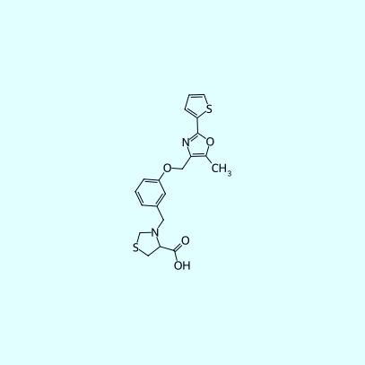 Cc1oc(-c2cccs2)nc1COc1cccc(CN2CSCC2C(=O)O)c1